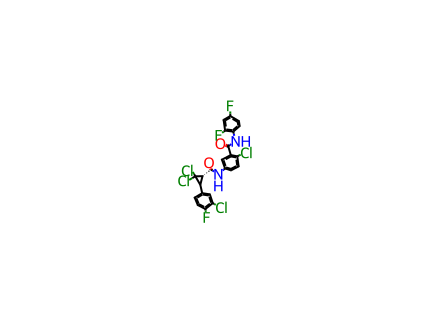 O=C(Nc1ccc(F)cc1F)c1cc(NC(=O)[C@@H]2C(c3ccc(F)c(Cl)c3)C2(Cl)Cl)ccc1Cl